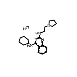 Cl.c1ccc2c(NC3CCCCC3)nc(NCCN3CCCC3)nc2c1